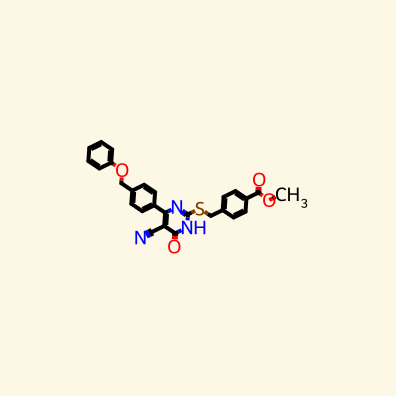 COC(=O)c1ccc(CSc2nc(-c3ccc(COc4ccccc4)cc3)c(C#N)c(=O)[nH]2)cc1